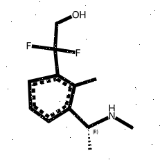 CN[C@H](C)c1cccc(C(F)(F)CO)c1C